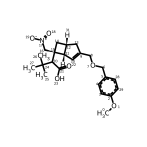 COc1ccc(COCC2=C[C@H]3[C@@H](C2)C[C@@]3(C[N+](=O)[O-])C(C(=O)O)C(C)(C)C)cc1